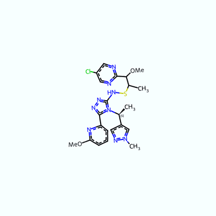 COc1cccc(-c2nnc(NSC(C)C(OC)c3ncc(Cl)cn3)n2[C@@H](C)c2cnn(C)c2)n1